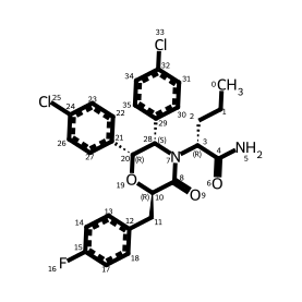 CCC[C@H](C(N)=O)N1C(=O)[C@@H](Cc2ccc(F)cc2)O[C@H](c2ccc(Cl)cc2)[C@@H]1c1ccc(Cl)cc1